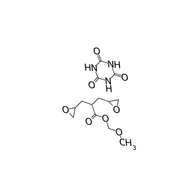 COCOC(=O)C(CC1CO1)CC1CO1.O=c1[nH]c(=O)[nH]c(=O)[nH]1